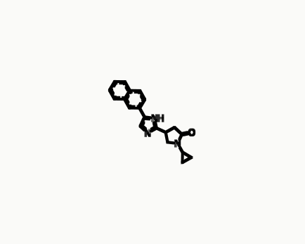 O=C1CC(c2ncc(-c3ccc4ccccc4c3)[nH]2)CN1C1CC1